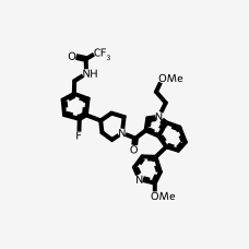 COCCn1cc(C(=O)N2CCC(c3cc(CNC(=O)C(F)(F)F)ccc3F)CC2)c2c(-c3ccnc(OC)c3)cccc21